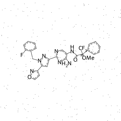 CO[C@@](C(=O)Nc1cnc(-c2cc(-c3ccon3)n(Cc3ccccc3F)n2)nc1N)(c1ccccc1)C(F)(F)F